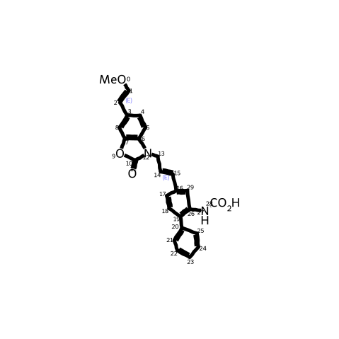 CO/C=C/c1ccc2c(c1)oc(=O)n2C/C=C/c1ccc(-c2ccccc2)c(NC(=O)O)c1